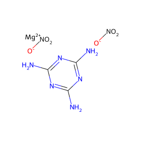 Nc1nc(N)nc(N)n1.O=[N+]([O-])[O-].O=[N+]([O-])[O-].[Mg+2]